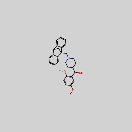 COc1ccc(OC)c([C@H](O)C2CCN(CC34CC(c5ccccc53)c3ccccc34)CC2)c1